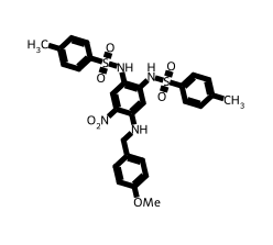 COc1ccc(CNc2cc(NS(=O)(=O)c3ccc(C)cc3)c(NS(=O)(=O)c3ccc(C)cc3)cc2[N+](=O)[O-])cc1